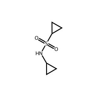 O=S(=O)(NC1CC1)C1CC1